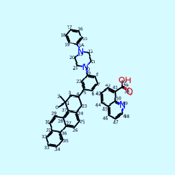 CC1(C)CC(c2cccc(N3CCN(c4ccccc4)CC3)c2)Cc2ccc3c(ccc4ccccc43)c21.O=C(O)c1cccc2cccnc12